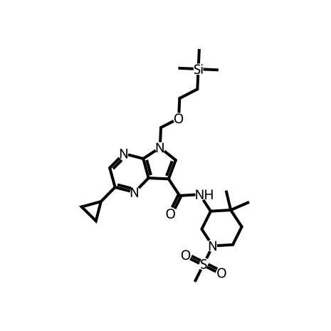 CC1(C)CCN(S(C)(=O)=O)CC1NC(=O)c1cn(COCC[Si](C)(C)C)c2ncc(C3CC3)nc12